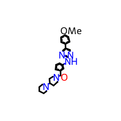 COc1ccc(-c2cnc(Nc3cccc(C(=O)N4CCC(N5CCCCC5)CC4)c3)nc2)cc1